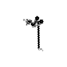 CCCCCCCCCCCCCCCCCCCCCOC(=O)[C@H](Cc1ccccc1)NP(=O)(OC[C@@]1(C)O[C@@H](n2cnc3c(N)nc(F)nc32)C[C@@H]1O)Oc1ccccc1